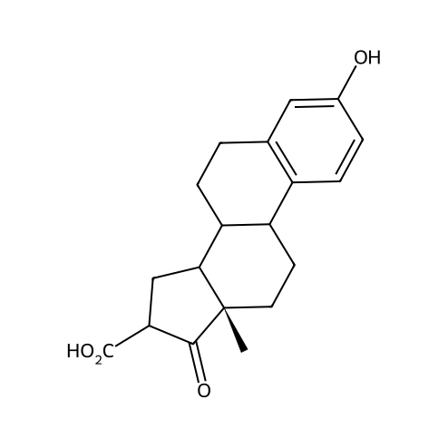 C[C@]12CCC3c4ccc(O)cc4CCC3C1CC(C(=O)O)C2=O